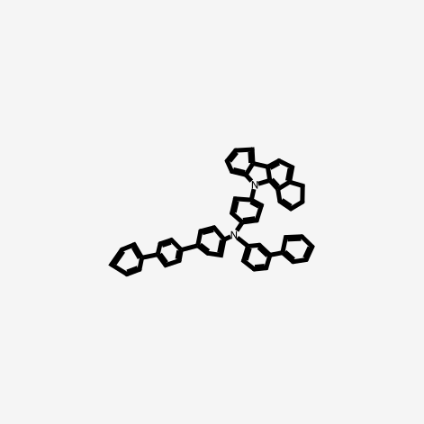 C1=Cc2c(ccc3c4ccccc4n(-c4ccc(N(c5ccc(-c6ccc(-c7ccccc7)cc6)cc5)c5cccc(-c6ccccc6)c5)cc4)c23)CC1